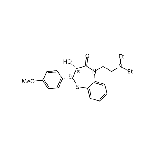 CCN(CC)CCN1C(=O)[C@@H](O)[C@@H](c2ccc(OC)cc2)Sc2ccccc21